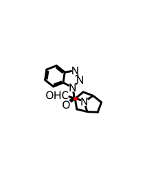 O=CC1CC2CCC(C1)N2C(=O)n1nnc2ccccc21